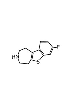 Fc1ccc2c3c(sc2c1)CCNCC3